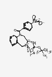 CC(C)(C)OC(=O)N[C@@H]1CN(C(=O)c2ccc([N+](=O)[O-])cc2)c2ccccc2C[N+]1=O